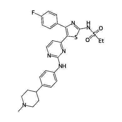 CCS(=O)(=O)Nc1nc(-c2ccc(F)cc2)c(-c2ccnc(Nc3ccc(C4CCN(C)CC4)cc3)n2)s1